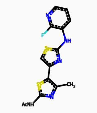 CC(=O)Nc1nc(C)c(-c2csc(Nc3cccnc3F)n2)s1